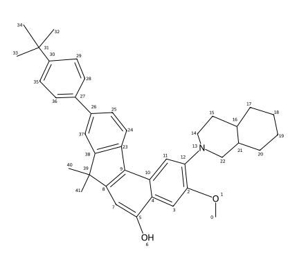 COc1cc2c(O)cc3c(c2cc1N1CCC2CCCCC2C1)-c1ccc(-c2ccc(C(C)(C)C)cc2)cc1C3(C)C